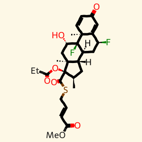 CCC(=O)O[C@]1(C(=O)SC/C=C/C(=O)OC)[C@H](C)C[C@H]2[C@@H]3C[C@H](F)C4=CC(=O)C=C[C@]4(C)[C@@]3(F)[C@@H](O)C[C@@]21C